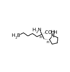 BCCCC[C@@](N)(C[C@H]1CCCN1)C(=O)O